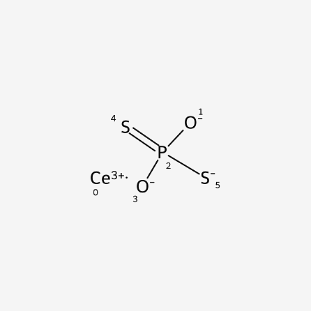 [Ce+3].[O-]P([O-])(=S)[S-]